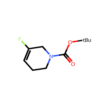 CC(C)(C)OC(=O)N1CCC=C(F)C1